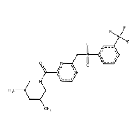 CC1CC(C)CN(C(=O)c2cccc(CS(=O)(=O)c3cccc(C(F)(F)F)c3)n2)C1